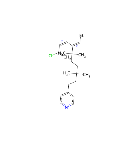 C=C(Cl)/C=C\C(=C/CC)C(C)(C)CCC(C)(C)CCc1ccncc1